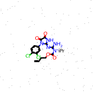 C=CCCOC(=O)[N+](=C(N)N=C1NC(=O)C(=O)N1c1ccc(Cl)c(Cl)c1)C(C)C